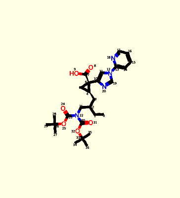 CCC(C[C@H]1C[C@]1(C(=O)O)c1cn(-c2ccccn2)cn1)CN(C(=O)OC(C)(C)C)C(=O)OC(C)(C)C